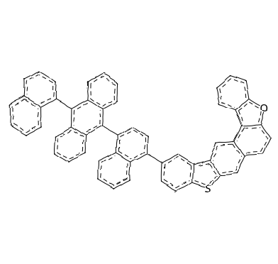 c1ccc2c(-c3c4ccccc4c(-c4ccc(-c5ccc6sc7cc8ccc9oc%10ccccc%10c9c8cc7c6c5)c5ccccc45)c4ccccc34)cccc2c1